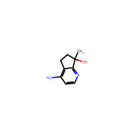 CC1(O)CCc2c(N)ccnc21